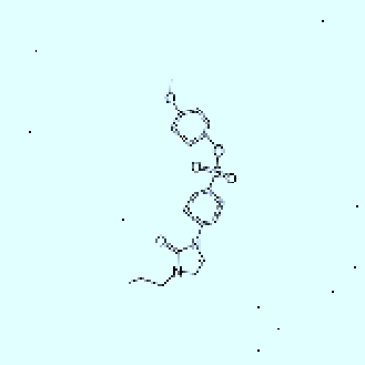 CCCN1CCN(c2ccc(S(=O)(=O)Oc3ccc(OC)cc3)cc2)C1=O